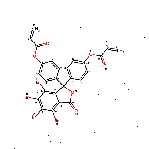 C=CC(=O)Oc1ccc(C2(c3ccc(OC(=O)C=C)cc3)OC(=O)c3c(Br)c(Br)c(Br)c(Br)c32)cc1